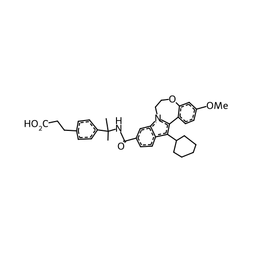 COc1ccc2c(c1)OCCn1c-2c(C2CCCCC2)c2ccc(C(=O)NC(C)(C)c3ccc(CCC(=O)O)cc3)cc21